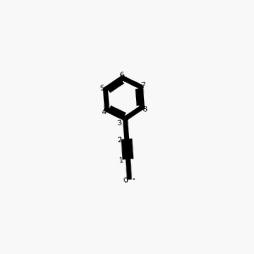 [CH2]C#Cc1ccccc1